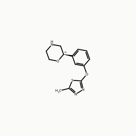 Cc1nnc(Oc2cccc([C@@H]3CNCCO3)c2)s1